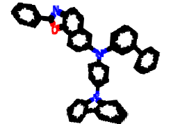 c1ccc(-c2cccc(N(c3ccc(-n4c5ccccc5c5ccccc54)cc3)c3ccc4c(ccc5nc(-c6ccccc6)oc54)c3)c2)cc1